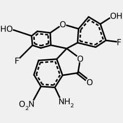 Nc1c([N+](=O)[O-])ccc2c1C(=O)OC21c2cc(F)c(O)cc2Oc2cc(O)c(F)cc21